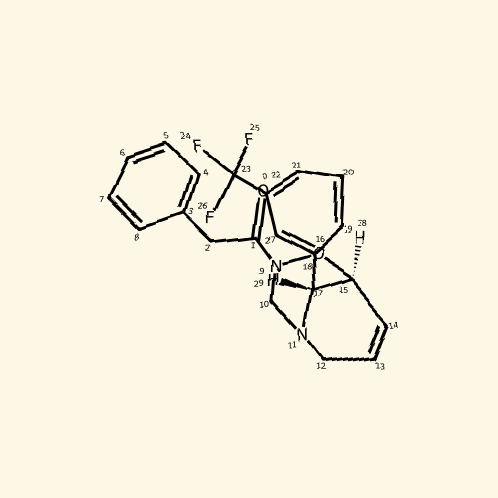 O=C(Cc1ccccc1)N1CN2CC=C[C@H](O1)[C@H]2c1cccc(C(F)(F)F)c1